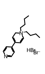 Br.CCCC[N+]1(CCCC)C=CC(c2ccncc2)=CC1.[Br-]